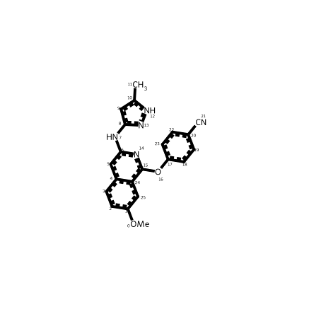 COc1ccc2cc(Nc3cc(C)[nH]n3)nc(Oc3ccc(C#N)cc3)c2c1